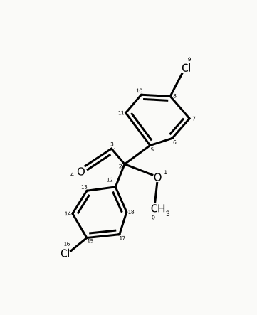 COC([C]=O)(c1ccc(Cl)cc1)c1ccc(Cl)cc1